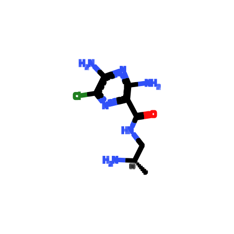 C[C@H](N)CNC(=O)c1nc(Cl)c(N)nc1N